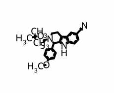 COc1ccc(C2c3[nH]c4ccc(C#N)cc4c3CCN2C(=S)OC(C)(C)C)cc1